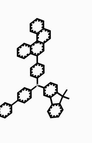 CC1(C)c2ccccc2-c2cc(N(c3ccc(-c4ccccc4)cc3)c3ccc(-c4cc5ccc6ccccc6c5c5ccccc45)cc3)ccc21